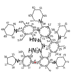 Cc1cc(C)c(N(Nc2c(C)ccc(N3CCCC3)c2C)N(c2ccc(C)c(N3CCCCC3)c2C)N(Nc2c(C)cc(C)c(N3CCCCC3)c2C)c2c(C)ccc(N3CCCCC3)c2C)cc1N1CCCCC1